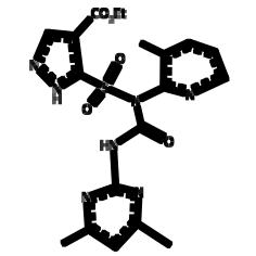 CCOC(=O)c1cn[nH]c1S(=O)(=O)N(C(=O)Nc1nc(C)cc(C)n1)c1ncccc1C